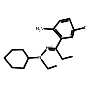 CC/C(=N\N(CC)C1CCCCC1)c1cc(Cl)ccc1N